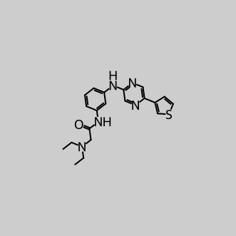 CCN(CC)CC(=O)Nc1cccc(Nc2cnc(-c3ccsc3)cn2)c1